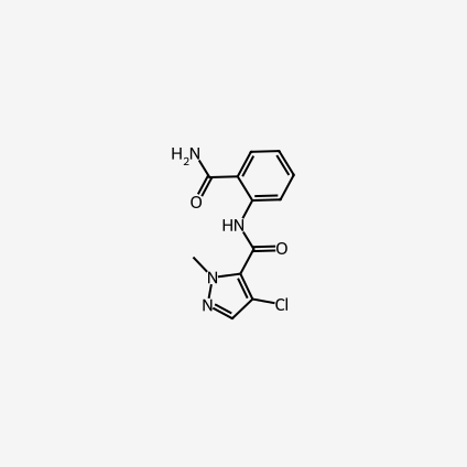 Cn1ncc(Cl)c1C(=O)Nc1ccccc1C(N)=O